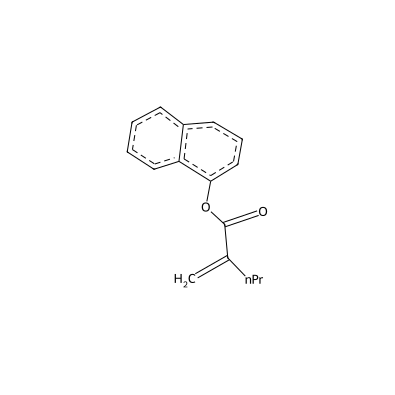 C=C(CCC)C(=O)Oc1cccc2ccccc12